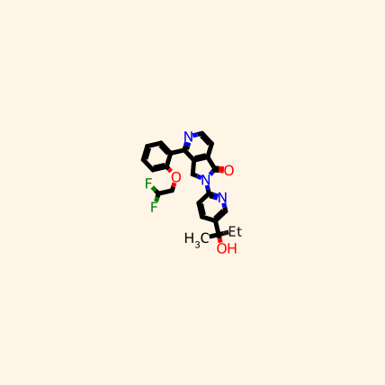 CCC(C)(O)c1ccc(N2Cc3c(ccnc3-c3ccccc3OCC(F)F)C2=O)nc1